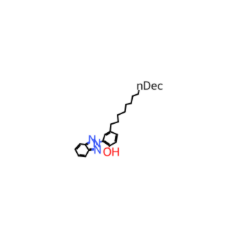 CCCCCCCCCCCCCCCCCCc1ccc(O)c(-n2nc3ccccc3n2)c1